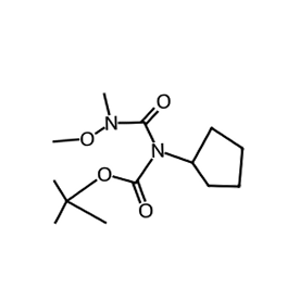 CON(C)C(=O)N(C(=O)OC(C)(C)C)C1CCCC1